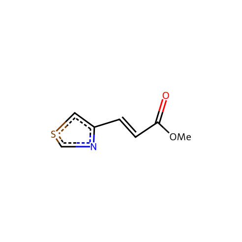 COC(=O)C=Cc1cscn1